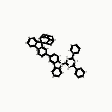 c1ccc(-c2nc(-c3ccccc3)nc(-n3c4ccccc4c4cc(-c5ccc6c(c5)C5(c7ccccc7-6)C6CC7CC(C6)CC5C7)ccc43)n2)cc1